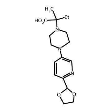 CCC(C)(C(=O)O)N1CCN(c2ccc(C3OCCO3)nc2)CC1